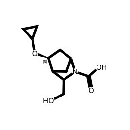 O=C(O)N1C2CC(C1CO)[C@@H](OC1CC1)C2